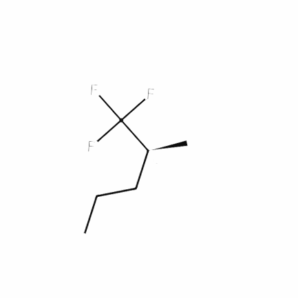 CCC[C@H](C)C(F)(F)F